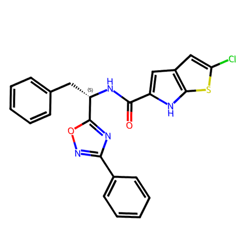 O=C(N[C@@H](Cc1ccccc1)c1nc(-c2ccccc2)no1)c1cc2cc(Cl)sc2[nH]1